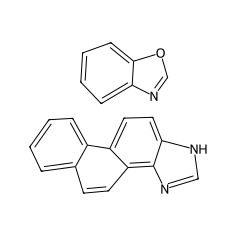 c1ccc2c(c1)ccc1c2ccc2[nH]cnc21.c1ccc2ocnc2c1